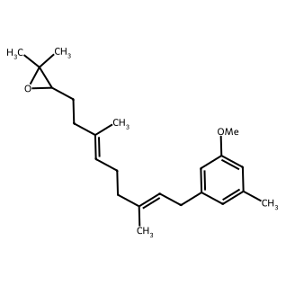 COc1cc(C)cc(C/C=C(\C)CC/C=C(\C)CCC2OC2(C)C)c1